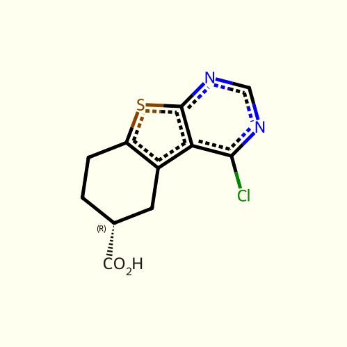 O=C(O)[C@@H]1CCc2sc3ncnc(Cl)c3c2C1